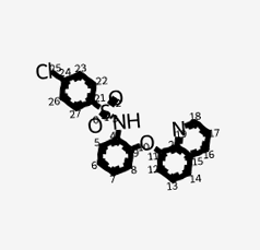 O=S(=O)(Nc1ccccc1Oc1cccc2cccnc12)c1ccc(Cl)cc1